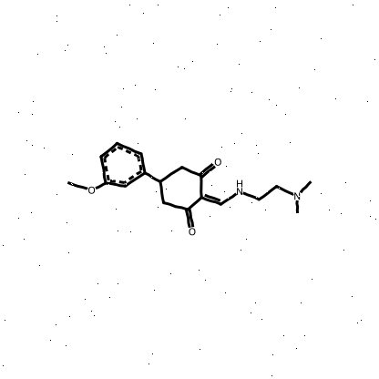 COc1cccc(C2CC(=O)C(=CNCCN(C)C)C(=O)C2)c1